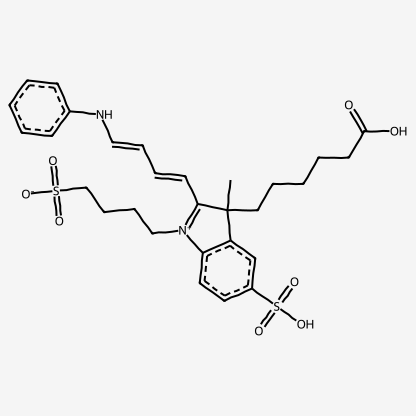 CC1(CCCCCC(=O)O)C(C=CC=CNc2ccccc2)=[N+](CCCCS(=O)(=O)[O-])c2ccc(S(=O)(=O)O)cc21